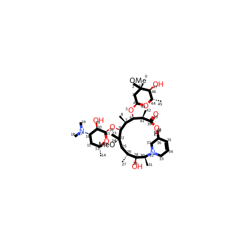 CO[C@]1(C)C[C@H](O[C@H]2[C@H](C)[C@@H](O[C@@H]3O[C@H](C)C[C@H](N(C)C)[C@H]3O)[C@@](C)(OC)C[C@@H](C)[C@H](O)[C@H](C)N3CC=C[C@H](C3)OC(=O)[C@@H]2C)O[C@@H](C)[C@@H]1O